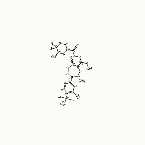 C[C@H]1CN([C@H](CO)CCC(=O)N2CCC3(CC3)[C@H](O)C2)C(=O)CCN1c1ccc(C(C)(F)F)c(C(F)(F)F)c1